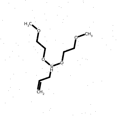 C=CC[SiH](OCCOC)OCCOC